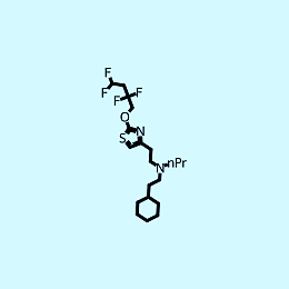 CCCN(CCc1csc(OCC(F)(F)CC(F)F)n1)CCC1CCCCC1